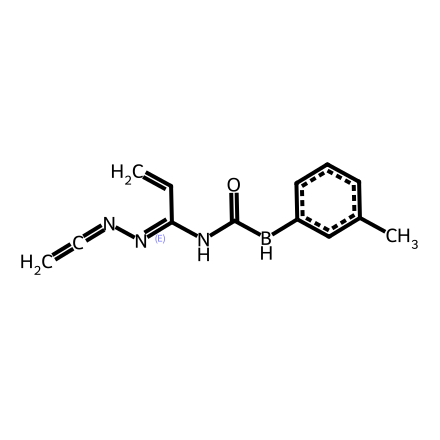 C=C=N/N=C(\C=C)NC(=O)Bc1cccc(C)c1